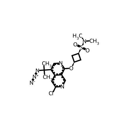 CN(C)S(=O)(=O)[C@H]1C[C@@H](Oc2ncc(C(C)(C)N=[N+]=[N-])c3cc(Cl)ncc23)C1